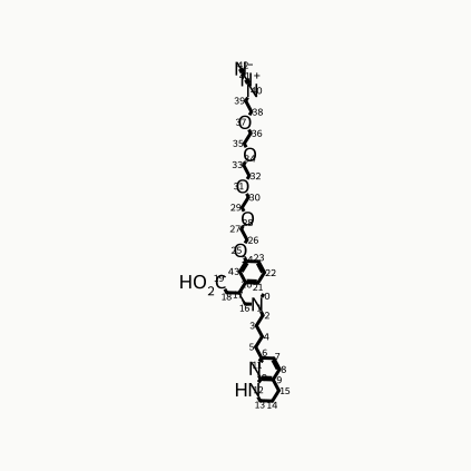 CN(CCCCc1ccc2c(n1)NCCC2)C[C@@H](CC(=O)O)c1cccc(OCCOCCOCCOCCOCCN=[N+]=[N-])c1